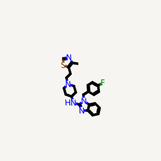 Cc1ncsc1CCN1CCC(Nc2nc3ccccc3n2Cc2ccc(F)cc2)CC1